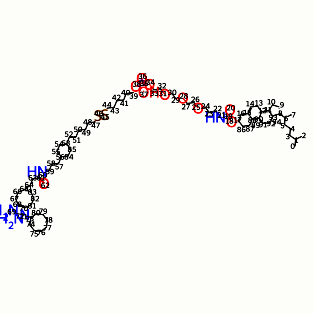 CC(C)CCC[C@H](C)[C@H]1CCC2C3CC=C4C[C@@H](OC(=O)NCCCOCCOCCOCCOP(=O)(O)OCCCCCCSSCCCCCCC5CCC(CCCNC(=O)CC6C7CC/C(N)=C(/N(N)C8CCCCCCC8)CCC76)CC5)CC[C@]4(C)C3CC[C@@]21C